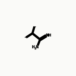 [CH2]C([CH2])C(=N)N